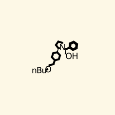 CCCCOCCC1CCC([C@H]2CCCN2[C@H](CO)c2ccccc2)CC1